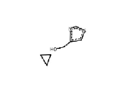 C1CC1.OCc1cscn1